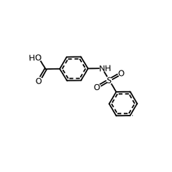 O=C(O)c1ccc(NS(=O)(=O)c2cc[c]cc2)cc1